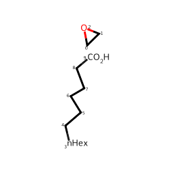 C1CO1.CCCCCCCCCCCC(=O)O